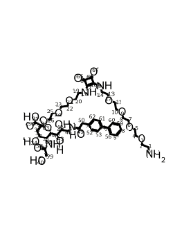 NCCOCCOCCOCCOCCNc1c(NCCOCCOCCO[C@]2(C(=O)O)C[C@H](O)[C@@H](NC(=O)CO)[C@H]([C@H](O)[C@H](O)CNC(=O)Cc3ccc(-c4ccccc4)cc3)O2)c(=O)c1=O